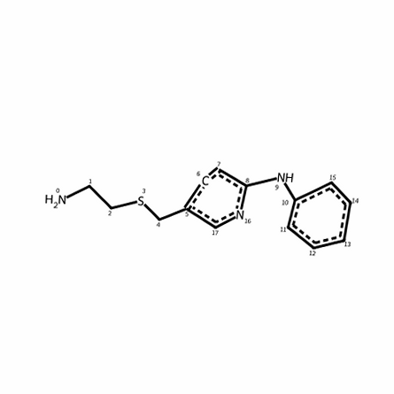 NCCSCc1ccc(Nc2ccccc2)nc1